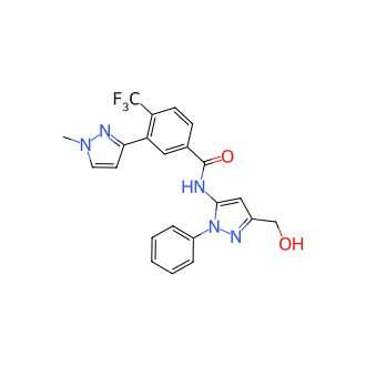 Cn1ccc(-c2cc(C(=O)Nc3cc(CO)nn3-c3ccccc3)ccc2C(F)(F)F)n1